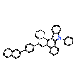 C1=CCC2C(=C1)C(c1ccc(-c3ccc4ccccc4c3)cc1)=Cc1c2c2c3ccccc3n(-c3ccccc3)c2c2ccccc12